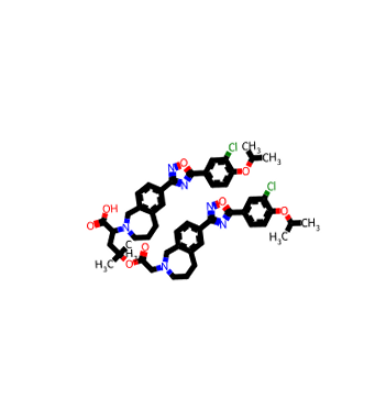 CC(C)Oc1ccc(-c2nc(-c3ccc4c(c3)CCCN(CC(=O)OC(C)(C)CC(C(=O)O)N3CCCc5cc(-c6noc(-c7ccc(OC(C)C)c(Cl)c7)n6)ccc5C3)C4)no2)cc1Cl